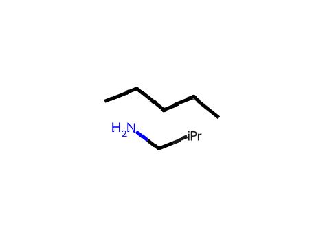 CC(C)CN.CCCCC